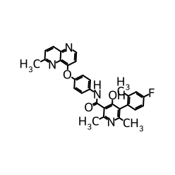 Cc1ccc2nccc(Oc3ccc(NC(=O)c4c(C)nc(C)c(-c5ccc(F)cc5C)c4O)cc3)c2n1